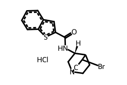 Cl.O=C(N[C@H]1CN2CCC1C(Br)C2)c1cc2ccccc2s1